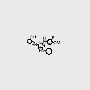 COc1ccc(Nc2nc(NCC3CCCC3O)nc(NC3CCCCCC3)n2)cc1F